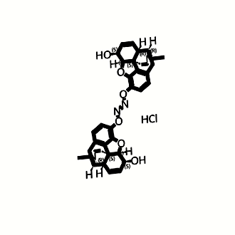 CN1CC[C@]23c4c5ccc(ON=NOc6ccc7c8c6O[C@H]6[C@@H](O)C=C[C@H]9[C@@H](C7)N(C)CC[C@@]896)c4O[C@H]2[C@@H](O)C=C[C@H]3[C@H]1C5.Cl